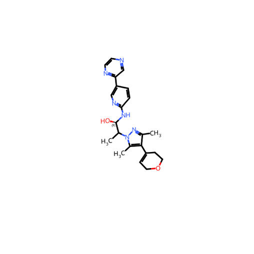 Cc1nn(C(C)[C@@H](O)Nc2ccc(-c3cnccn3)cn2)c(C)c1C1=CCOCC1